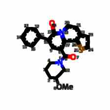 COC1CCCN(C(=O)c2cc(-c3ccccc3)c(=O)n3ccc4ccsc4c23)C1